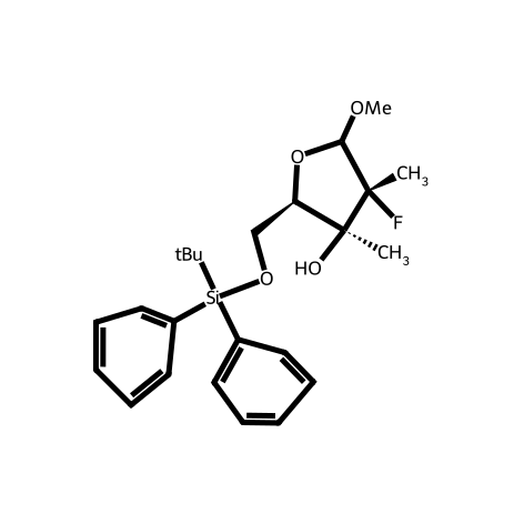 COC1O[C@H](CO[Si](c2ccccc2)(c2ccccc2)C(C)(C)C)[C@](C)(O)[C@@]1(C)F